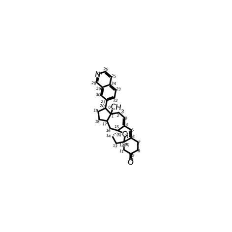 CC12CC=C3C=C4CCC(=O)C[C@]45CC[C@@]3(CC1CCC2c1ccc2ccncc2c1)O5